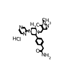 Cc1c(CN2CCN(c3cnccn3)CC2c2ccc(CC(N)=O)cc2)cnn1C.Cl